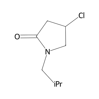 CC(C)CN1CC(Cl)CC1=O